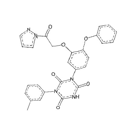 Cc1cccc(-n2c(=O)[nH]c(=O)n(-c3ccc(Oc4ccccc4)c(OCC(=O)n4cccn4)c3)c2=O)c1